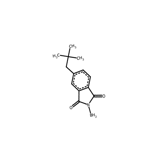 BN1C(=O)c2ccc(CC(C)(C)C)cc2C1=O